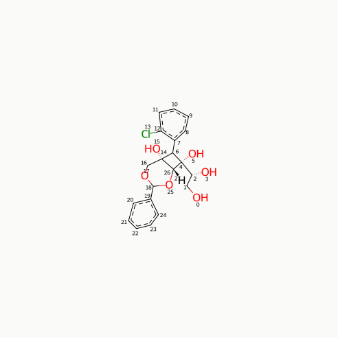 OC[C@@H](O)[C@]1(O)C(c2ccccc2Cl)[C@]2(O)COC(c3ccccc3)O[C@@H]12